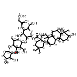 CCCCCCCCCCCC(=O)N[C@H]1C(CO)O[C@@H](OC(=O)[C@]23CCC(C)(C)CC2C2=CCC4C5(C)CC[C@H](O)C(C)(C=O)[C@H]5CCC4(C)C2(C)CC3O)C(O[C@@H]2OC(C)[C@H](O[C@@H]3OC[C@@H](O)C(O)C3O)C(O)C2CO)C1O